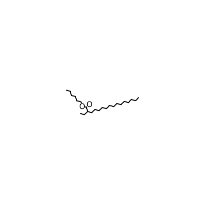 CCCCCCCCCCCCCCC(CC)C(=O)OCCCCCC